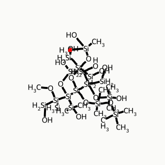 CO[Si]([SiH3])([SiH2]O)[Si](O[SiH2]O)([Si](C)(C)O)[Si](O[Si](C)(C)O[Si](C)(C)C)(O[Si](O[Si](C)(C)O)([SiH2]O)[SiH2]O)[Si](O[Si](C)(C)O)([SiH2]O)[SiH2]O